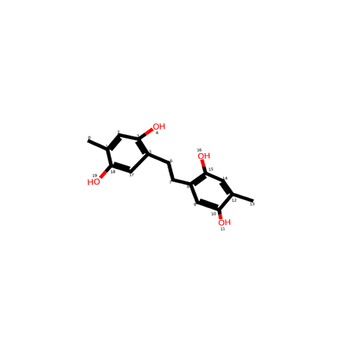 Cc1cc(O)c(CCc2cc(O)c(C)cc2O)cc1O